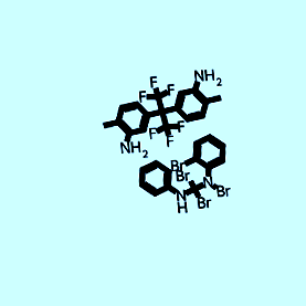 Brc1ccccc1N(Br)C(Br)(Br)Nc1ccccc1.Cc1ccc(C(c2ccc(C)c(N)c2)(C(F)(F)F)C(F)(F)F)cc1N